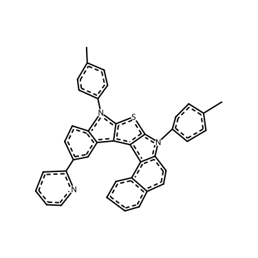 Cc1ccc(-n2c3ccc(-c4ccccn4)cc3c3c4c5c6ccccc6ccc5n(-c5ccc(C)cc5)c4sc32)cc1